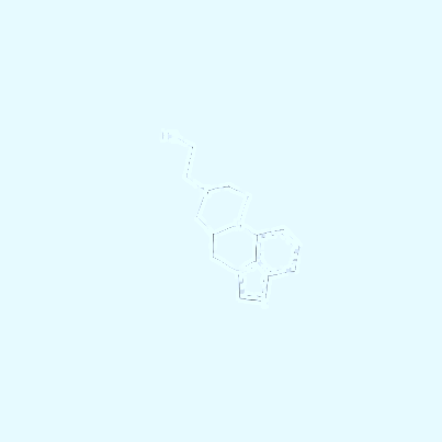 OCCN1CCN2c3cccc4scc(c34)CC2C1